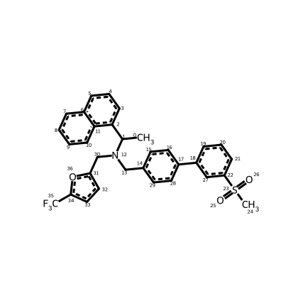 CC(c1cccc2ccccc12)N(Cc1ccc(-c2cccc(S(C)(=O)=O)c2)cc1)Cc1ccc(C(F)(F)F)o1